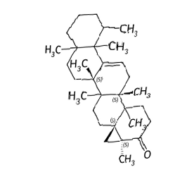 CC1CCCC2(C)CC[C@]3(C)C(=CC[C@]4(C)C5(C)CCC(=O)[C@@]6(C)C[C@@]56CCC43C)C12C